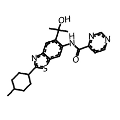 CC1CCC(c2nc3cc(C(C)(C)O)c(NC(=O)c4ccncn4)cc3s2)CC1